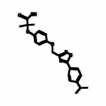 CC(C)c1ccc(-c2nc(COc3ccc(OC(C)(C)C(=O)O)cc3)no2)cc1